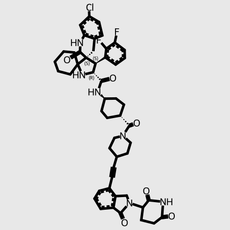 O=C1CCC(N2Cc3c(C#CC4CCN(C(=O)[C@H]5CC[C@H](NC(=O)[C@@H]6NC7(CCCCC7)[C@]7(Cc8ccc(Cl)cc8NC7=O)[C@H]6c6cccc(F)c6F)CC5)CC4)cccc3C2=O)C(=O)N1